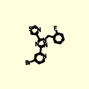 Fc1ccccc1Cn1nc(-c2cc(Br)ccn2)nc1-c1cscn1